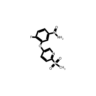 CS(=O)(=O)c1ccc(Oc2cc([N+](N)=O)[c]cc2F)cn1